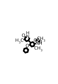 Cc1cc(Oc2ccccc2)c(-c2c[nH]c(=O)c(C)c2)cc1NS(C)(=O)=O